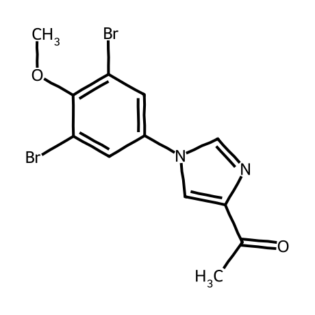 COc1c(Br)cc(-n2cnc(C(C)=O)c2)cc1Br